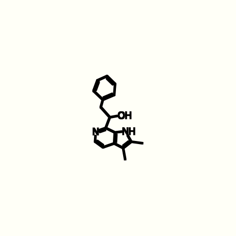 Cc1[nH]c2c(C(O)Cc3ccccc3)nccc2c1C